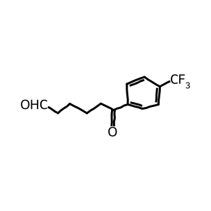 O=CCCCCC(=O)c1ccc(C(F)(F)F)cc1